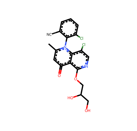 Cc1cc(=O)c2c(OCC(O)CO)ncc(Cl)c2n1-c1c(Cl)cccc1C#N